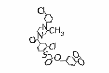 CC1CN(C(=O)c2ccc(SCC(=O)OCc3ccc4c(c3)OCO4)c(Cl)c2)CCN1c1cccc(Cl)c1